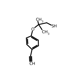 C#Cc1ccc(OC(C)(C)CS)cc1